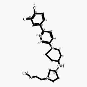 CCOCCN1CC[C@H](NC2CCN(c3ccc(-c4ccc(Cl)c(Cl)c4)nn3)CC2)C1